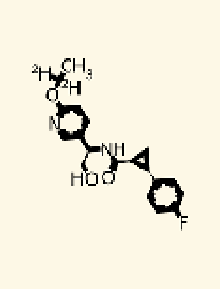 [2H]C([2H])(C)Oc1ccc([C@H](CO)NC(=O)[C@H]2C[C@@H]2c2ccc(F)cc2)cn1